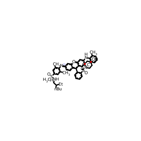 CCCCC(CC)CN[SH](C)(=O)c1cc(C)c(/N=c2\ccc3c(-c4ccccc4S(=O)(=O)N4CCC(O)CC4)c4ccc(Nc5c(C)cccc5C)cc4oc-3c2)c(C)c1